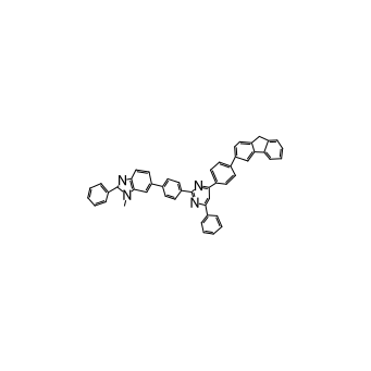 Cn1c(-c2ccccc2)nc2ccc(-c3ccc(-c4nc(-c5ccccc5)cc(-c5ccc(-c6ccc7c(c6)-c6ccccc6C7)cc5)n4)cc3)cc21